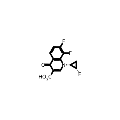 O=C(O)c1cn([C@@H]2C[C@@H]2F)c2c(F)c(F)ccc2c1=O